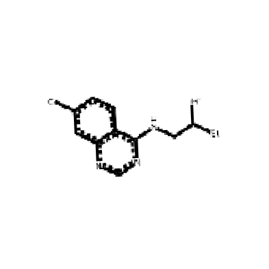 CCC(CNc1ncnc2cc(Cl)ccc12)C(C)C